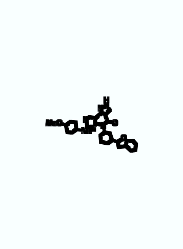 COc1ccc(Nc2ncc3c4n[nH]cc4c(=O)n(-c4cccc(-c5cc6ccccc6o5)c4)c3n2)cc1